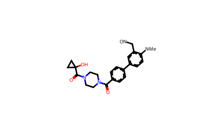 CNc1ccc(-c2ccc(C(=O)N3CCN(C(=O)C4(O)CC4)CC3)cc2)cc1CN=O